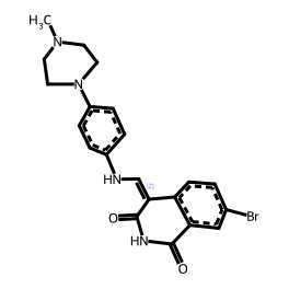 CN1CCN(c2ccc(N/C=C3\C(=O)NC(=O)c4cc(Br)ccc43)cc2)CC1